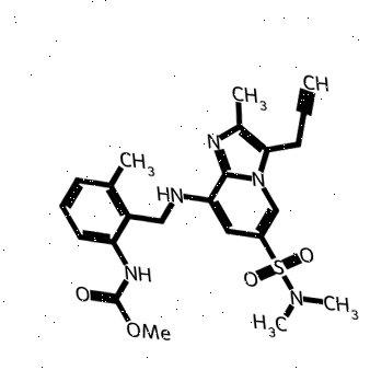 C#CCc1c(C)nc2c(NCc3c(C)cccc3NC(=O)OC)cc(S(=O)(=O)N(C)C)cn12